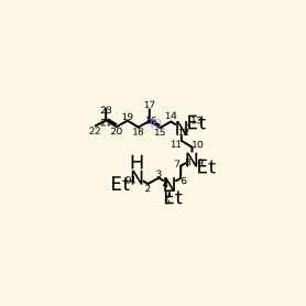 CCNCCN(CC)CCN(CC)CCN(CC)C/C=C(\C)CCC=C(C)C